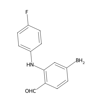 Bc1ccc(C=O)c(Nc2ccc(F)cc2)c1